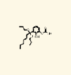 CCCCCCC(OCCC)(OCCC)c1cccc(OC(=O)O)c1O